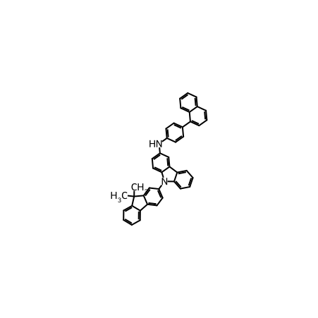 CC1(C)c2ccccc2-c2ccc(-n3c4ccccc4c4cc(Nc5ccc(-c6cccc7ccccc67)cc5)ccc43)cc21